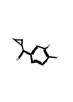 O=C(c1ccc(F)c(F)c1)C1CC1